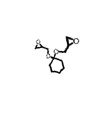 C1CCC(OCC2CO2)(OCC2CO2)CC1